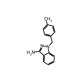 Cc1ccc(Cn2nc(N)c3ccccc32)cc1